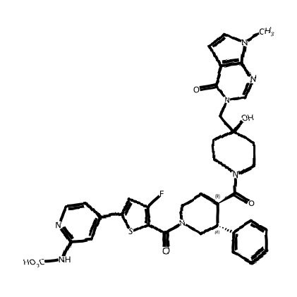 Cn1ccc2c(=O)n(CC3(O)CCN(C(=O)[C@@H]4CCN(C(=O)c5sc(-c6ccnc(NC(=O)O)c6)cc5F)C[C@H]4c4ccccc4)CC3)cnc21